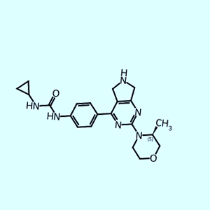 C[C@H]1COCCN1c1nc2c(c(-c3ccc(NC(=O)NC4CC4)cc3)n1)CNC2